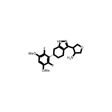 COc1cc(OC)c(F)c([C@H]2CCc3c(C4COCC4N)n[nH]c3C2)c1F